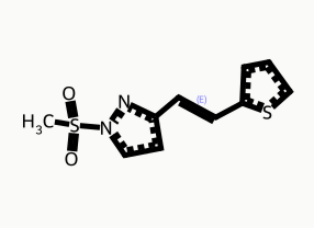 CS(=O)(=O)n1ccc(/C=C/c2cccs2)n1